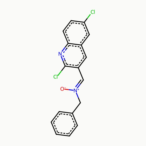 [O-]/[N+](=C\c1cc2cc(Cl)ccc2nc1Cl)Cc1ccccc1